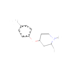 CCC1CC(Oc2ccc([N+](=O)[O-])cc2)CCN1CC